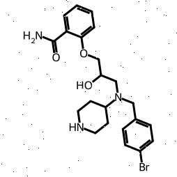 NC(=O)c1ccccc1OCC(O)CN(Cc1ccc(Br)cc1)C1CCNCC1